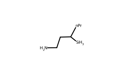 CCCC([SiH3])CCN